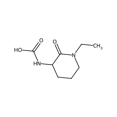 CCN1CCCC(NC(=O)O)C1=O